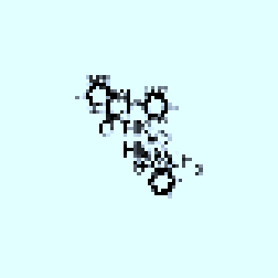 Cc1ccccc1S(=O)(=O)NC(=O)Nc1ccccc1-c1nc2ccccc2c(=O)o1